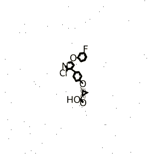 O=C(O)[C@@H]1C[C@H]1COc1ccc(-c2cc(Oc3cccc(F)c3)cnc2Cl)cc1